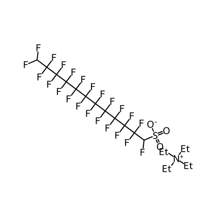 CC[N+](CC)(CC)CC.O=S(=O)([O-])C(F)C(F)(F)C(F)(F)C(F)(F)C(F)(F)C(F)(F)C(F)(F)C(F)(F)C(F)(F)C(F)(F)C(F)(F)C(F)F